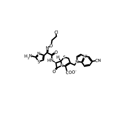 N#Cc1ccc2n(CC3=C(C(=O)[O-])N4C(=O)[C@@H](NC(=O)/C(=N\OCCCl)c5csc(N)n5)[C@@H]4SC3)cc[n+]2c1